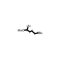 CCC(C)CCCC(OC)C(C)=O